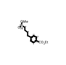 CCOC(=O)c1ccc(CCCC[PH](=O)OC)cc1